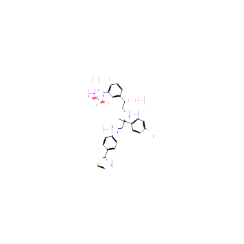 COc1ccc(C(C)(NC[C@@H](O)c2ccc(O)c(NS(C)(=O)=O)c2)C(=O)Nc2ccc(-c3nccs3)cc2)cc1